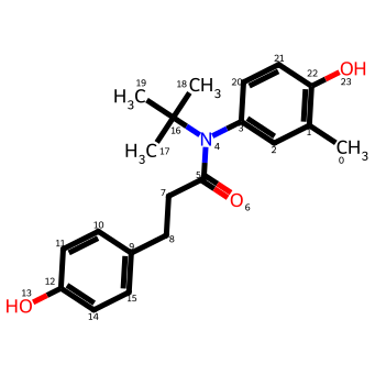 Cc1cc(N(C(=O)CCc2ccc(O)cc2)C(C)(C)C)ccc1O